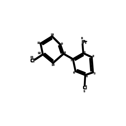 CC(C)c1ccc(Cl)cc1-c1cccc(Cl)c1